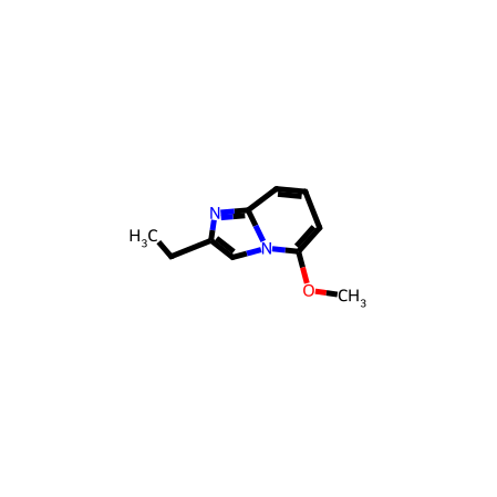 CCc1cn2c(OC)cccc2n1